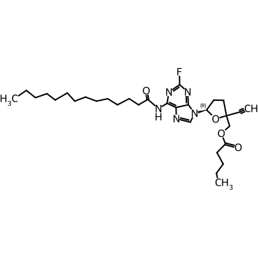 C#CC1(COC(=O)CCCC)CC[C@H](n2cnc3c(NC(=O)CCCCCCCCCCCCC)nc(F)nc32)O1